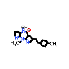 CCN1c2ncc(CCc3ccc(C)cc3)cc2C(=O)N(C)c2cccnc21